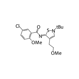 COCCc1cn(C(C)(C)C)sc1=NC(=O)c1cc(Cl)ccc1OC